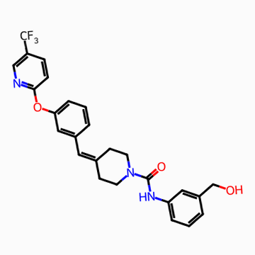 O=C(Nc1cccc(CO)c1)N1CCC(=Cc2cccc(Oc3ccc(C(F)(F)F)cn3)c2)CC1